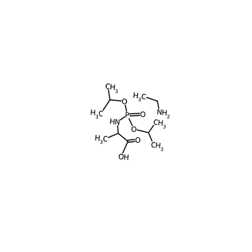 CC(C)OP(=O)(NC(C)C(=O)O)OC(C)C.CCN